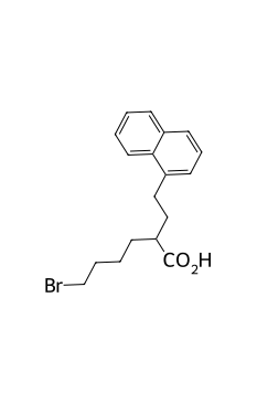 O=C(O)C(CCCCBr)CCc1cccc2ccccc12